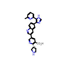 Cc1cccc(-c2[nH]cnc2-c2ccc3ncc(-c4cnc([C@@H]5CCNC5)c(C(=O)O)c4)cc3c2)n1